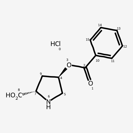 Cl.O=C(O[C@H]1CN[C@H](C(=O)O)C1)c1ccccc1